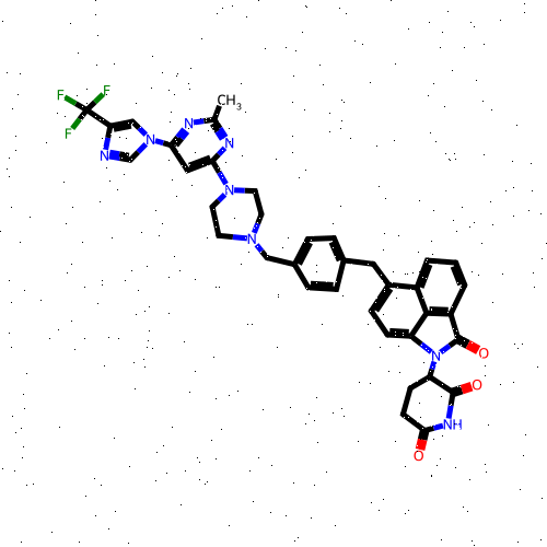 Cc1nc(N2CCN(Cc3ccc(Cc4ccc5c6c(cccc46)C(=O)N5C4CCC(=O)NC4=O)cc3)CC2)cc(-n2cnc(C(F)(F)F)c2)n1